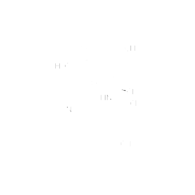 Cc1ccc(N[C@H](C)c2cc(C)cc3c(=O)c(C)c(-c4cccnc4)oc23)c(Cl)c1